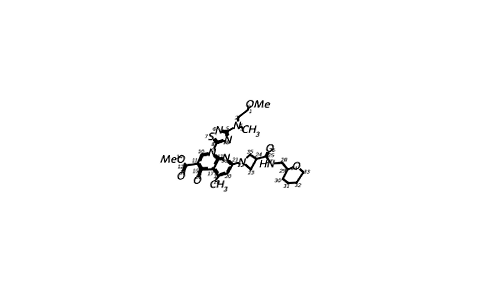 COCCN(C)c1nsc(-n2cc(C(=O)OC)c(=O)c3c(C)cc(N4CC(C(=O)NCC5CCCCO5)C4)nc32)n1